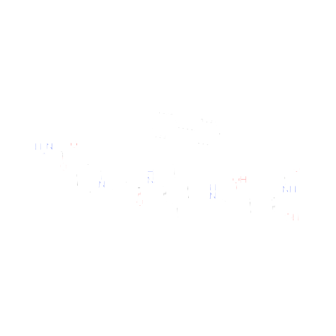 Cc1cc(NC(=O)CCN2CCC(OC(N)=O)CC2)c(C)cc1CNCC(O)c1ccc(O)c(NC=O)c1.c1ccc(-c2ccccc2)cc1